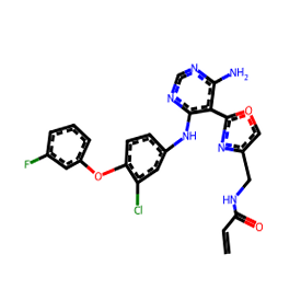 C=CC(=O)NCc1coc(-c2c(N)ncnc2Nc2ccc(Oc3cccc(F)c3)c(Cl)c2)n1